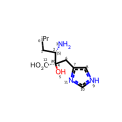 CC(C)C[C@H](N)[C@](O)(Cc1c[nH]cn1)C(=O)O